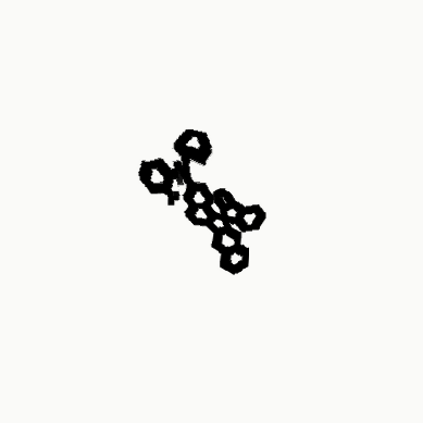 Fc1ccccc1N(c1ccccc1)c1ccc2c3c(ccc2c1)-c1cc2ccccc2cc1C31c2ccccc2-c2ccccc21